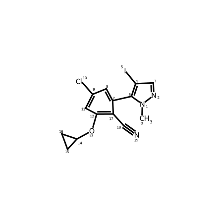 Cn1ncc(I)c1-c1cc(Cl)cc(OC2CC2)c1C#N